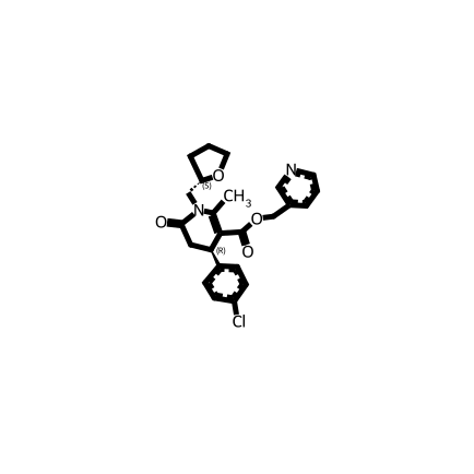 CC1=C(C(=O)OCc2cccnc2)[C@@H](c2ccc(Cl)cc2)CC(=O)N1C[C@@H]1CCCO1